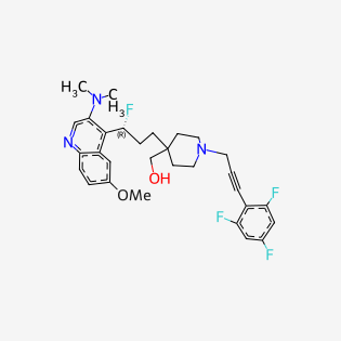 COc1ccc2ncc(N(C)C)c([C@H](F)CCC3(CO)CCN(CC#Cc4c(F)cc(F)cc4F)CC3)c2c1